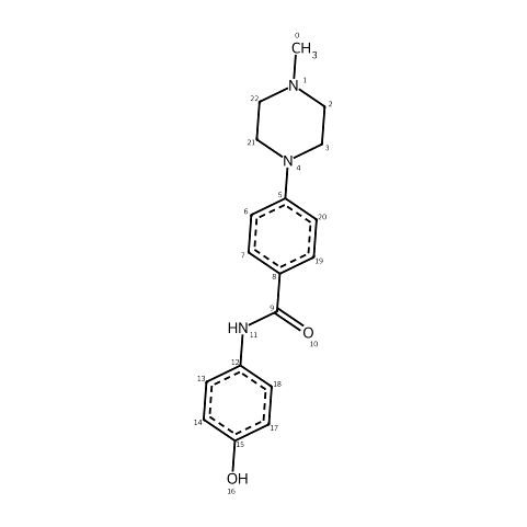 CN1CCN(c2ccc(C(=O)Nc3ccc(O)cc3)cc2)CC1